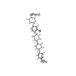 CCCCCC1CCC(c2ccc(C3CCC(C4CCC(c5ccc(CCCC)cc5)CC4)CC3)c(F)c2)CC1